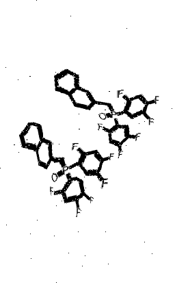 O=P(Cc1[c]c2ccccc2cc1)(c1cc(F)c(F)cc1F)c1cc(F)c(F)cc1F.O=P(Cc1[c]c2ccccc2cc1)(c1cc(F)c(F)cc1F)c1cc(F)c(F)cc1F